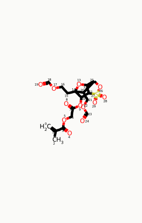 C=C(C)C(=O)OCC(=O)OC1C2C3OC1(CCOC=O)C(COC=O)C3OS2(=O)=O